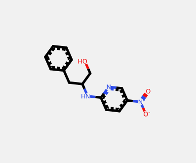 O=[N+]([O-])c1ccc(NC(CO)Cc2ccccc2)nc1